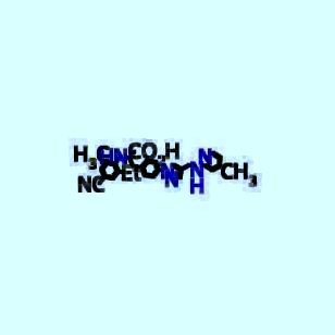 CCc1cc(C#N)cc(C)c1NC(Cc1ccc(-n2cc(CNc3cc(C)ccn3)cn2)cc1)C(=O)O